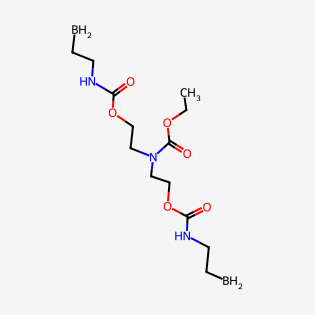 BCCNC(=O)OCCN(CCOC(=O)NCCB)C(=O)OCC